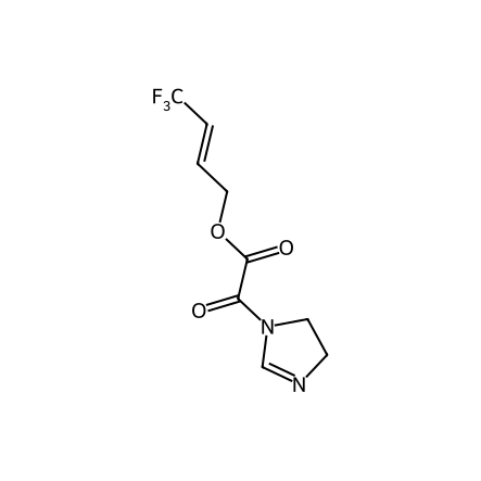 O=C(OC/C=C/C(F)(F)F)C(=O)N1C=NCC1